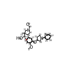 COc1ccc([C@@H]2CN(C=O)C[C@@]2(C)[C@@H](C)O)cc1OC1CCN(c2ccccn2)C1